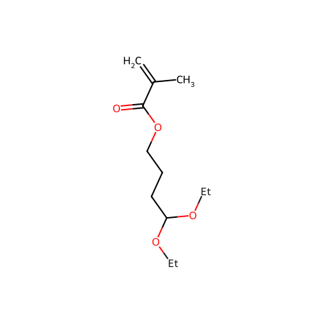 C=C(C)C(=O)OCCCC(OCC)OCC